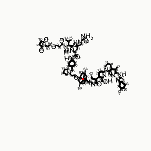 Cc1c(Nc2nc3cc(F)ccc3s2)nnc2c1CCCN2c1ccc(-c2cnn(CC34CC5(OCC[N+]6(Cc7ccc(NC(=O)[C@H](CCCNC(N)=O)NC(=O)[C@@H](NC(=O)CCOCCN8C(=O)C=CC8=O)C(C)C)cc7)CCCC6)C[C@](C)(C3)C[C@](C)(C4)C5)c2C)c(C(=O)O)n1